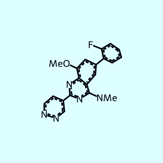 CNc1nc(-c2ccnnc2)nc2c(OC)cc(-c3ccccc3F)cc12